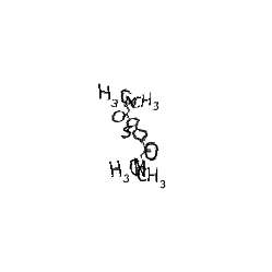 CN(C)CCC(=O)c1ccc2c(c1)sc1cc(C(=O)CCN(C)C)ccc12